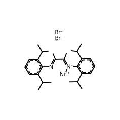 CC(=Nc1c(C(C)C)cccc1C(C)C)C(C)=[N+]([Ni+2])c1c(C(C)C)cccc1C(C)C.[Br-].[Br-]